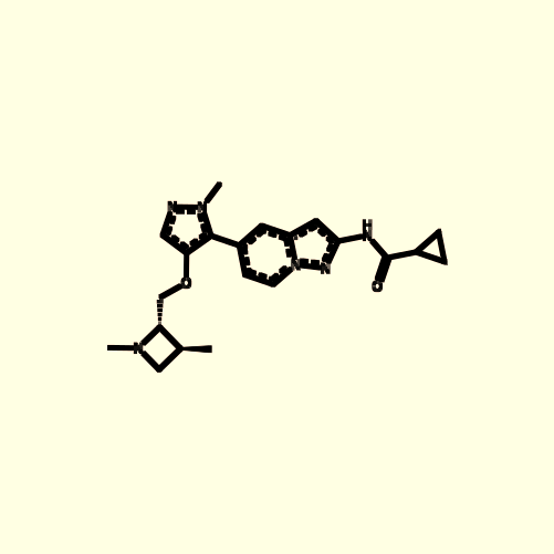 C[C@H]1CN(C)[C@@H]1COc1cnn(C)c1-c1ccn2nc(NC(=O)C3CC3)cc2c1